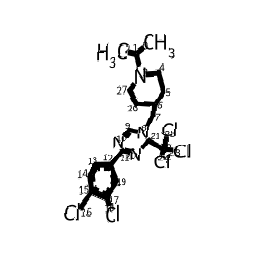 CC(C)N1CCC(CN2C=NC(c3ccc(Cl)c(Cl)c3)=NC2C(Cl)(Cl)Cl)CC1